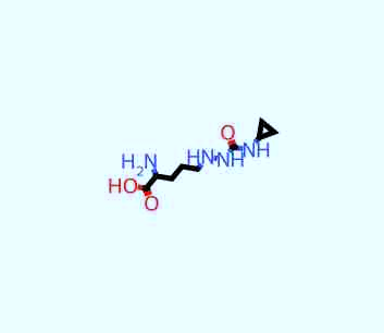 NC(CCCNNC(=O)NC1CC1)C(=O)O